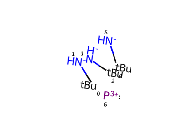 CC(C)(C)[NH-].CC(C)(C)[NH-].CC(C)(C)[NH-].[P+3]